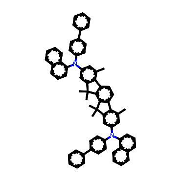 Cc1cc(N(c2ccc(-c3ccccc3)cc2)c2cccc3ccccc23)cc2c1-c1ccc3c(c1C2(C)C)C(C)(C)c1cc(N(c2ccc(-c4ccccc4)cc2)c2cccc4ccccc24)cc(C)c1-3